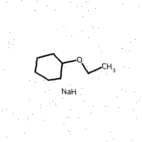 CCOC1CCCCC1.[NaH]